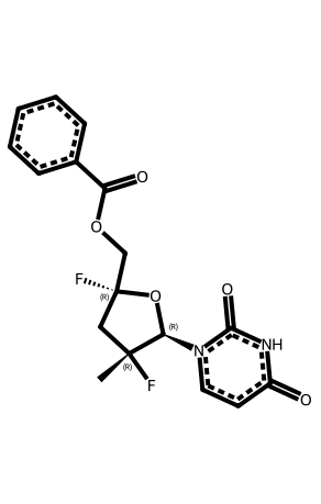 C[C@@]1(F)C[C@@](F)(COC(=O)c2ccccc2)O[C@H]1n1ccc(=O)[nH]c1=O